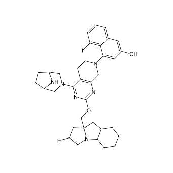 Oc1cc(N2CCc3c(nc(OCC45CC(F)CN4C4CCCCC4C5)nc3N3CC4CCC(C3)N4)C2)c2c(I)cccc2c1